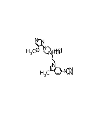 COc1cncnc1N1CCN(CCCn2cc(C)c3ccc(-n4cnnc4)cc32)CC1.Cl.Cl